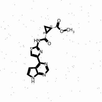 COC(=O)[C@H]1C[C@H]1C(=O)Nc1nc(-c2ncnc3[nH]ccc23)cs1